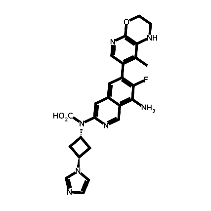 Cc1c(-c2cc3cc(N(C(=O)O)[C@H]4C[C@H](n5ccnc5)C4)ncc3c(N)c2F)cnc2c1NCCO2